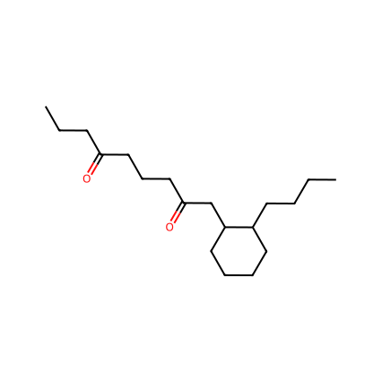 CCCCC1CCCCC1CC(=O)CCCC(=O)CCC